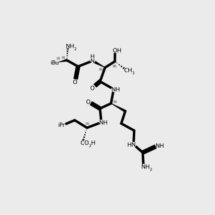 CC[C@H](C)[C@H](N)C(=O)N[C@H](C(=O)N[C@@H](CCCNC(=N)N)C(=O)N[C@@H](CC(C)C)C(=O)O)[C@@H](C)O